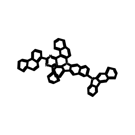 c1ccc(-c2nc(-c3c(-n4c5ccccc5c5cc6cc(-n7c8ccccc8c8cc9ccccc9cc87)ccc6cc54)ccc4ccccc34)nc(-c3cccc4c3ccc3ccccc34)n2)cc1